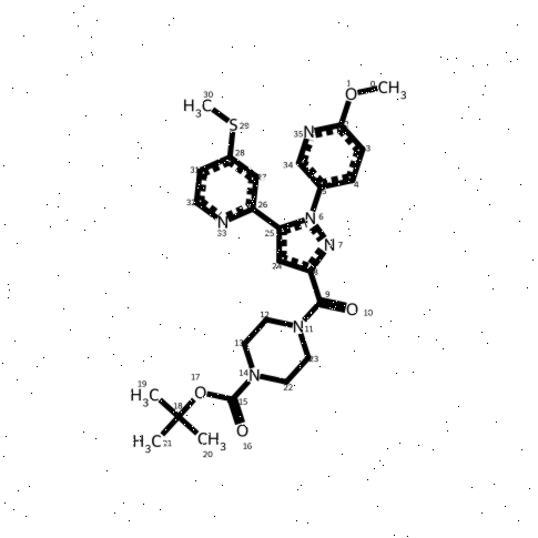 COc1ccc(-n2nc(C(=O)N3CCN(C(=O)OC(C)(C)C)CC3)cc2-c2cc(SC)ccn2)cn1